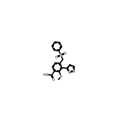 COc1c(C(=O)O)ccc(CS(=O)(=O)c2ccccc2)c1-c1ccns1